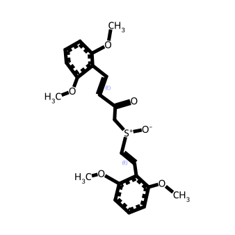 COc1cccc(OC)c1/C=C/C(=O)C[S+]([O-])/C=C/c1c(OC)cccc1OC